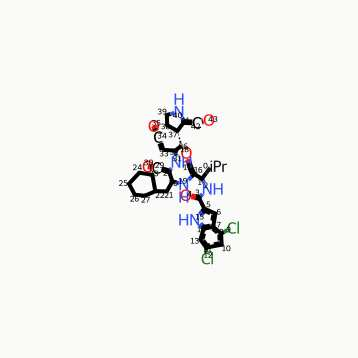 CC(C)C(NC(=O)c1cc2c(Cl)cc(Cl)cc2[nH]1)C(=C=O)NC(CC1CCCCC1)C(=C=O)NC(C=C=O)C[C@@H]1CCNC1=C=O